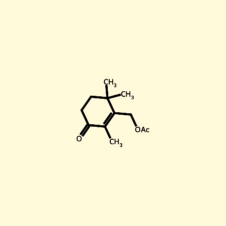 CC(=O)OCC1=C(C)C(=O)CCC1(C)C